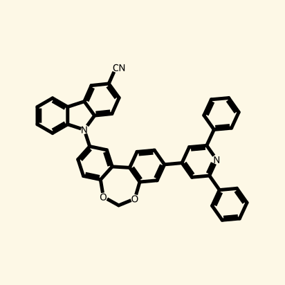 N#Cc1ccc2c(c1)c1ccccc1n2-c1ccc2c(c1)-c1ccc(-c3cc(-c4ccccc4)nc(-c4ccccc4)c3)cc1OCO2